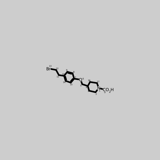 O=C(O)N1CCC(COc2ccc(CCBr)cc2)CC1